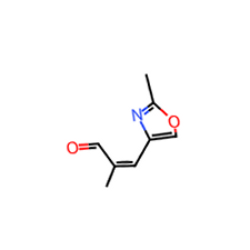 CC(C=O)=Cc1coc(C)n1